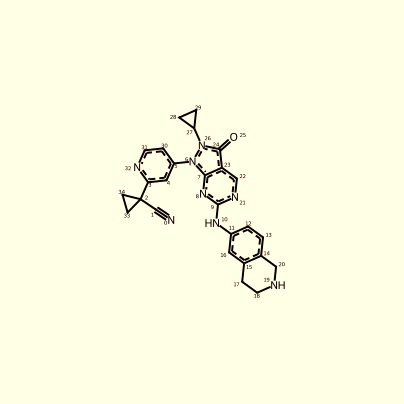 N#CC1(c2cc(-n3c4nc(Nc5ccc6c(c5)CCNC6)ncc4c(=O)n3C3CC3)ccn2)CC1